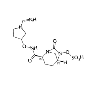 N=CN1CCC(ONC(=O)[C@@H]2CC[C@@H]3CN2C(=O)N3OS(=O)(=O)O)C1